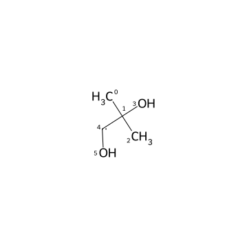 CC(C)(O)[CH]O